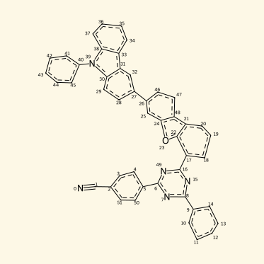 N#Cc1ccc(-c2nc(-c3ccccc3)nc(-c3cccc4c3oc3cc(-c5ccc6c(c5)c5ccccc5n6-c5ccccc5)ccc34)n2)cc1